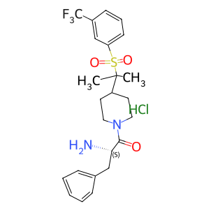 CC(C)(C1CCN(C(=O)[C@@H](N)Cc2ccccc2)CC1)S(=O)(=O)c1cccc(C(F)(F)F)c1.Cl